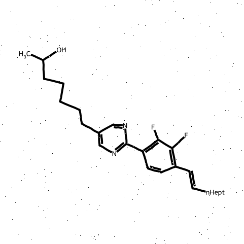 CCCCCCCC=Cc1ccc(-c2ncc(CCCCCC(C)O)cn2)c(F)c1F